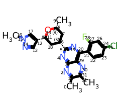 Cc1nc2nc([C@H]3C[C@@H](C)O[C@@H](c4cnn(C)c4)C3)nc(-c3ccc(Cl)cc3F)c2nc1C